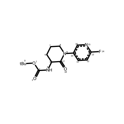 CC(C)(C)OC(=O)NC1CCCN(c2ccc(F)nc2)C1=O